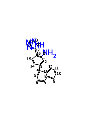 Nc1cc(-c2cccc3ccccc23)ccc1-c1nnn[nH]1